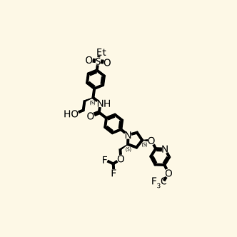 CCS(=O)(=O)c1ccc([C@H](CCO)NC(=O)c2ccc(N3C[C@@H](Oc4ccc(OC(F)(F)F)cn4)C[C@H]3COC(F)F)cc2)cc1